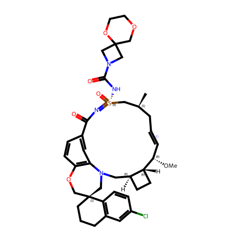 CO[C@H]1/C=C/C[C@H](C)C[S@@](=O)(NC(=O)N2CC3(COCCO3)C2)=NC(=O)c2ccc3c(c2)N(C[C@@H]2CC[C@H]21)C[C@@]1(CCCc2cc(Cl)ccc21)CO3